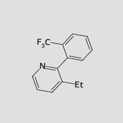 CCc1cccnc1-c1ccccc1C(F)(F)F